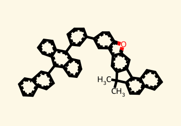 CC1(C)c2cc3c(cc2-c2c1ccc1ccccc21)oc1ccc(-c2cccc(-c4c5ccccc5c(-c5ccc6ccccc6c5)c5ccccc45)c2)cc13